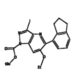 CCOc1cc2c(nc1-c1cccc3c1CCC3)c(I)nn2C(=O)OC(C)(C)C